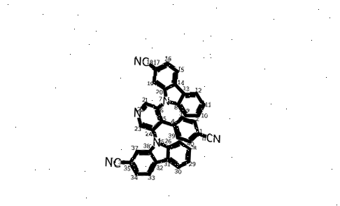 N#Cc1ccc(-c2c(-n3c4ccccc4c4ccc(C#N)cc43)cncc2-n2c3ccccc3c3ccc(C#N)cc32)cc1